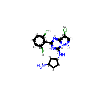 N[C@@H]1CC[C@@H](Nc2nc(-c3c(F)cccc3F)nc3c(Cl)cnn23)C1